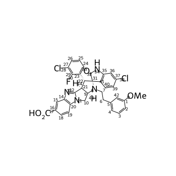 COc1cccc(CCN2[C@H]3Cn4c(nc5cc(C(=O)O)ccc54)[C@H]3[C@H](c3cccc(Cl)c3F)[C@]23C(=O)Nc2cc(Cl)ccc23)c1